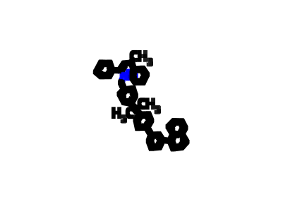 CC(/C=C(\NCc1ccc(C(C)(C)c2ccc(-c3cccc(-c4cccc5ccccc45)c3)cc2)cc1)c1ccccc1)c1ccccc1